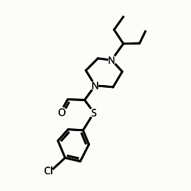 CCC(CC)N1CCN(C(C=O)Sc2ccc(Cl)cc2)CC1